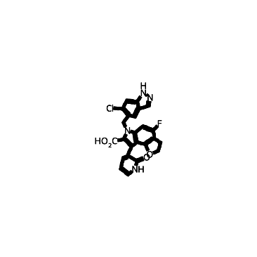 O=C(O)c1c(-c2ccc[nH]c2=O)c2c3c(c(F)cc2n1Cc1cc2cn[nH]c2cc1Cl)CCO3